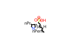 CCCCCCS(=O)(=O)O.CCCCCN1CCC(CCC)C1.CS(=O)(=O)O